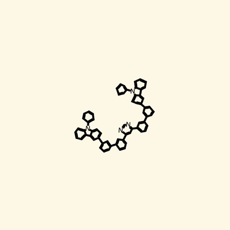 c1ccc(-n2c3ccccc3c3cc(-c4cccc(-c5cccc(-c6cc(-c7cccc(-c8cccc(-c9ccc%10c(c9)c9ccccc9n%10-c9ccccc9)c8)c7)ncn6)c5)c4)ccc32)cc1